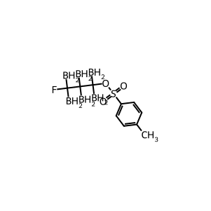 BC(B)(F)C(B)(B)C(B)(B)OS(=O)(=O)c1ccc(C)cc1